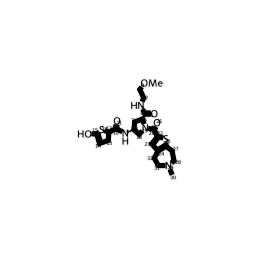 COCCNC(=O)[C@@H]1C[C@@H](NC(=O)C2CC=C(O)S2)CN1C(=O)c1cc2c(s1)CCN(C)CC2